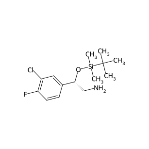 CC(C)(C)[Si](C)(C)O[C@H](CN)c1ccc(F)c(Cl)c1